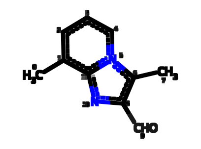 Cc1cccn2c(C)c(C=O)nc12